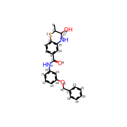 CC1Sc2ccc(C(=O)Nc3cccc(OCc4ccccc4)c3)cc2NC1O